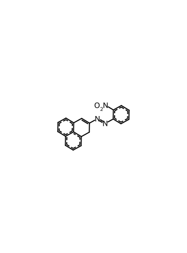 O=[N+]([O-])c1ccccc1/N=N/C1=Cc2cccc3cccc(c23)C1